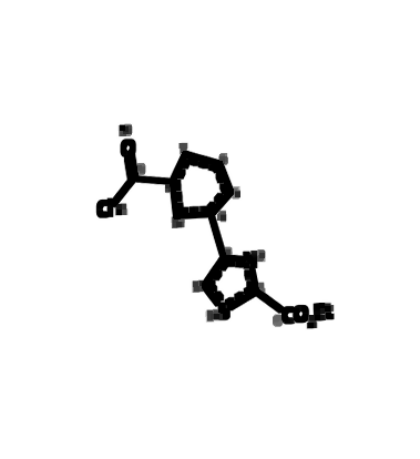 CCOC(=O)c1nc(-c2cccc(C(=O)Cl)c2)cs1